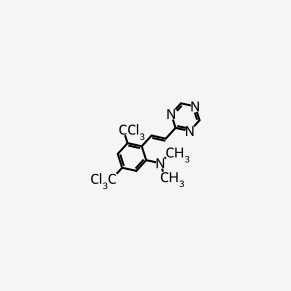 CN(C)c1cc(C(Cl)(Cl)Cl)cc(C(Cl)(Cl)Cl)c1C=Cc1ncncn1